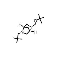 CC(C)(C)CN1C[C@@H]2C[C@H]1CN2COC(C)(C)C